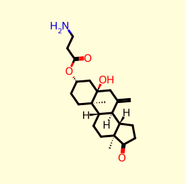 C=C1C[C@@]2(O)C[C@@H](OC(=O)CCN)CC[C@]2(C)[C@H]2CC[C@]3(C)C(=O)CC[C@H]3[C@H]12